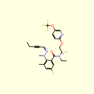 CCC#C/C=N\N(C)c1c(C)cc(F)cc1C(=O)N(CC)[C@@H](C)COc1ccc(OC(F)(F)F)cn1